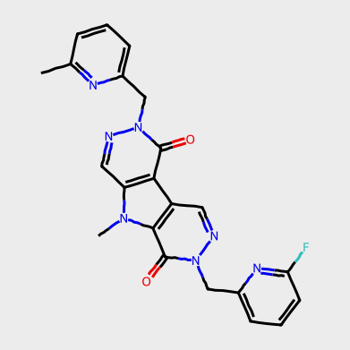 Cc1cccc(Cn2ncc3c(c2=O)c2cnn(Cc4cccc(F)n4)c(=O)c2n3C)n1